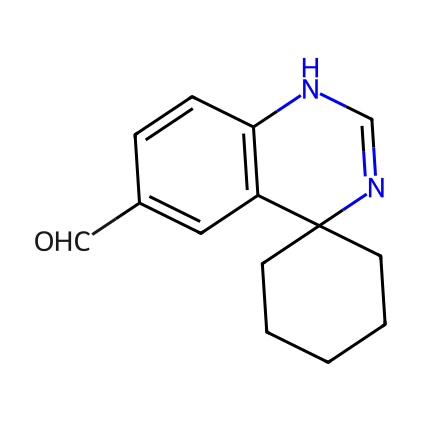 O=Cc1ccc2c(c1)C1(CCCCC1)N=CN2